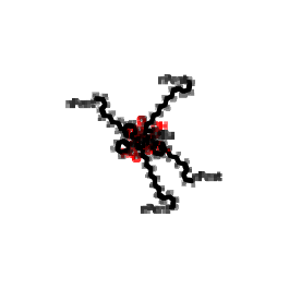 CCCCC/C=C\C/C=C\CCCCCCCC(=O)[C@](O)([C@@](O)(C(=O)CCCCCCC/C=C\C/C=C\CCCCC)[C@@](O)(C(=O)CCCCCCC/C=C\C/C=C\CCCCC)C(O)[Si](c1ccccc1)(c1ccccc1)C(C)(C)C)[C@@](O)(C(=O)CCCCCCC/C=C\C/C=C\CCCCC)C(O)[Si](c1ccccc1)(c1ccccc1)C(C)(C)C